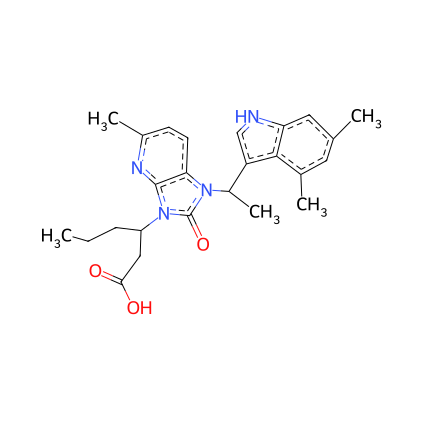 CCCC(CC(=O)O)n1c(=O)n(C(C)c2c[nH]c3cc(C)cc(C)c23)c2ccc(C)nc21